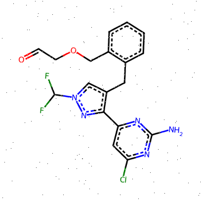 Nc1nc(Cl)cc(-c2nn(C(F)F)cc2Cc2ccccc2COCC=O)n1